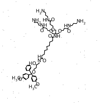 COc1ccc(C(OCCC(O)CNC(=O)CCCCCCCCC(=O)NC(COCCC(=O)NCCCN)(COCCC(=O)NCCCN)COCCC(=O)NCCCN)(c2ccccc2)c2ccc(OC)cc2)cc1